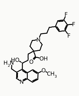 COc1ccc2ncc(CN)c([C@@H](O)CCC3(C(=O)O)CCN(CCCc4cc(F)c(F)c(F)c4)CC3)c2c1